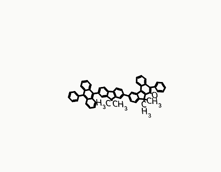 CC1(C)c2cc(-c3ccc4c(c3)-c3c(c5oc6ccccc6c5c5ccccc35)C4(C)C)ccc2-c2ccc(-c3c4ccccc4c(-c4ccccc4)c4ccccc34)cc21